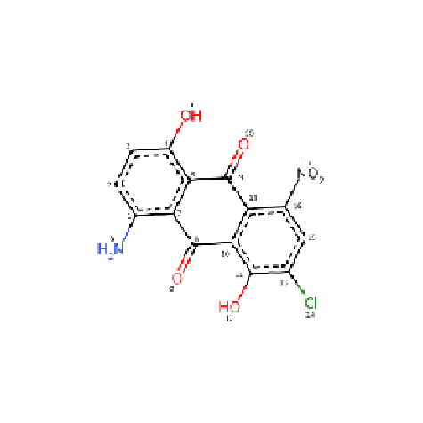 Nc1ccc(O)c2c1C(=O)c1c(O)c(Cl)cc([N+](=O)[O-])c1C2=O